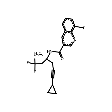 C[C@](CC#CC1CC1)(CC(F)(F)F)NC(=O)c1cnc2c(F)cccc2c1